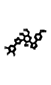 COc1ccc(-n2cnnc2[C@@H]2O[C@H](CO)[C@H](O)[C@H](n3cc(-c4cc(F)c(F)c(F)c4)nn3)[C@H]2O)cc1